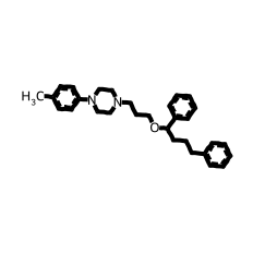 Cc1ccc(N2CCN(CCCOC(CCCc3ccccc3)c3ccccc3)CC2)cc1